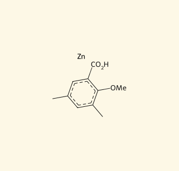 COc1c(C)cc(C)cc1C(=O)O.[Zn]